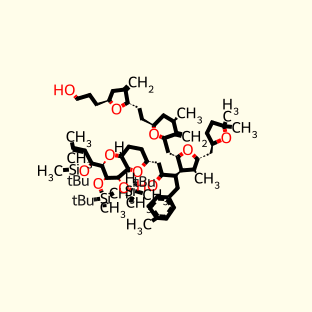 C=C1C(C[C@@H]2O[C@H](C[C@H]3CCC(C)(C)O3)[C@H](C)[C@H]2C(Cc2ccc(C)cc2)C(O)C[C@H]2CC[C@@H]3O[C@@H]([C@H](/C=C/C)O[Si](C)(C)C(C)(C)C)[C@@H](O[Si](C)(C)C(C)(C)C)[C@@H](O[Si](C)(C)C(C)(C)C)[C@H]3O2)O[C@@H](CC[C@@H]2O[C@@H](CCCO)CC2=C)C[C@H]1C